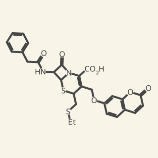 CCSCC1SC2C(NC(=O)Cc3ccccc3)C(=O)N2C(C(=O)O)=C1COc1ccc2ccc(=O)oc2c1